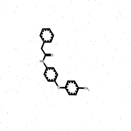 Cc1ccc(Oc2ccc(NC(=O)Cc3ccccc3)cc2)cc1